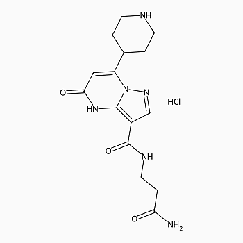 Cl.NC(=O)CCNC(=O)c1cnn2c(C3CCNCC3)cc(=O)[nH]c12